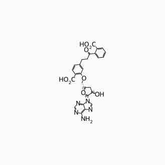 Nc1ncnc2c1ncn2[C@@H]1O[C@H](COc2cc(CCC(=O)c3ccccc3C(=O)O)ccc2C(=O)O)C[C@H]1O